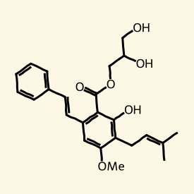 COc1cc(/C=C/c2ccccc2)c(C(=O)OCC(O)CO)c(O)c1CC=C(C)C